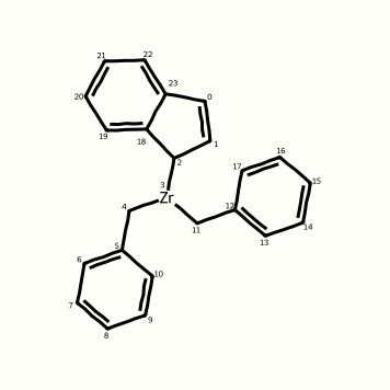 C1=C[CH]([Zr]([CH2]c2ccccc2)[CH2]c2ccccc2)c2ccccc21